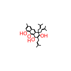 CC(C)=CCC1=C(O)C(CC=C(C)C)(CC=C(C)C)c2cc3cc(C)cc(O)c3c(O)c2C1=O